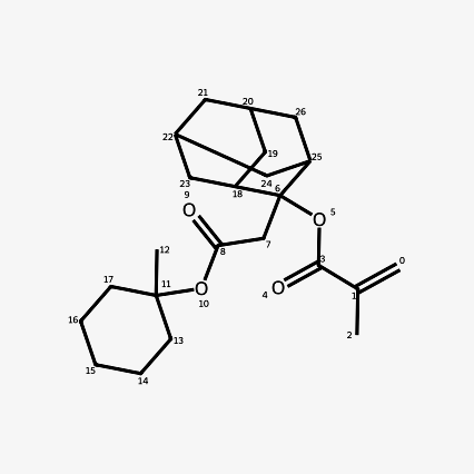 C=C(C)C(=O)OC1(CC(=O)OC2(C)CCCCC2)C2CC3CC(C2)CC1C3